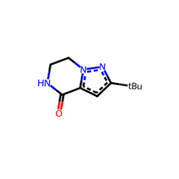 CC(C)(C)c1cc2n(n1)CCNC2=O